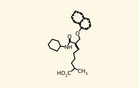 CC(CCCC=C(COc1cccc2ccccc12)C(=O)NC1CCCCC1)C(=O)O